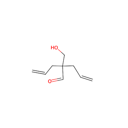 C=CCC(C=O)(CO)CC=C